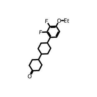 CCOc1ccc(C2CCC(C3CCC(=O)CC3)CC2)c(F)c1F